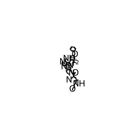 COCCNC(C)(C)C=C(C#N)C(=O)N1CCC[C@H](n2nc(-c3ccc(Oc4ccccc4)cc3F)c3c(N)ncnc32)C1